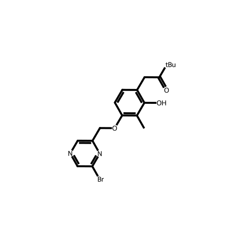 Cc1c(OCc2cncc(Br)n2)ccc(CC(=O)C(C)(C)C)c1O